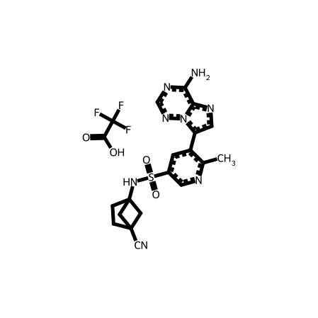 Cc1ncc(S(=O)(=O)NC23CCC(C#N)(C2)C3)cc1-c1cnc2c(N)ncnn12.O=C(O)C(F)(F)F